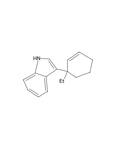 CCC1(c2c[nH]c3ccccc23)C=CCCC1